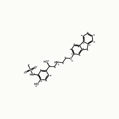 CS(=O)(=O)Nc1cc([C@@H](O)CNCCOc2ccc3c(c2)Cc2ccccc2-3)ccc1O